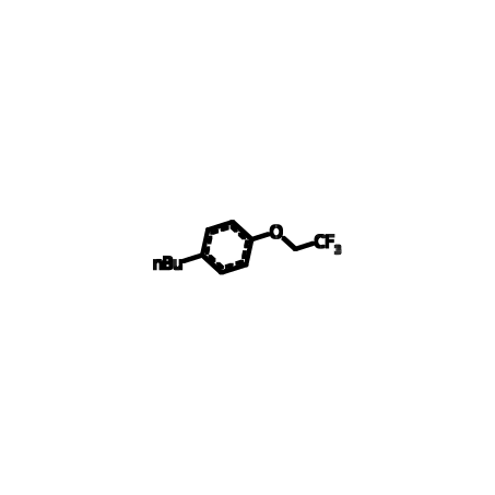 CCCCc1ccc(OCC(F)(F)F)cc1